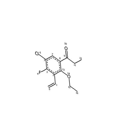 C=Cc1c(F)c(Cl)cc(C(=O)CC)c1OCC